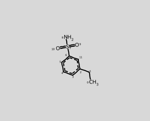 C[CH]c1cccc(S(N)(=O)=O)c1